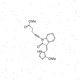 COC(=O)CCC#CN1C(=O)C(=Cc2[nH]ccc2OC)c2ccccc21